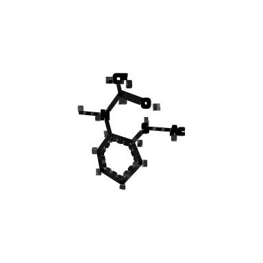 CC(=O)Sc1ccccc1N(C)C(=O)C(F)(F)F